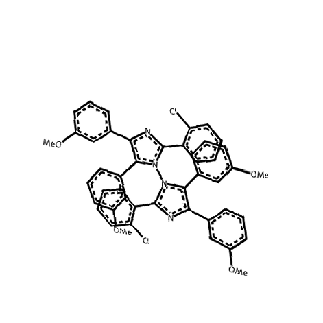 COc1cccc(-c2nc(-c3ccccc3Cl)n(-n3c(-c4ccccc4Cl)nc(-c4cccc(OC)c4)c3-c3cccc(OC)c3)c2-c2cccc(OC)c2)c1